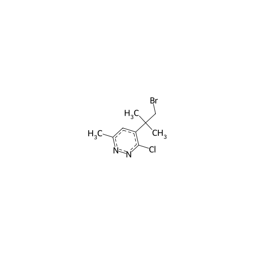 Cc1cc(C(C)(C)CBr)c(Cl)nn1